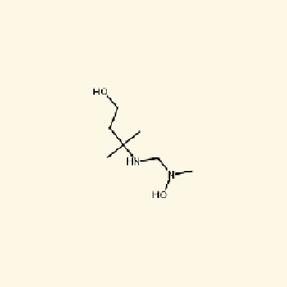 CN(O)CNC(C)(C)CCO